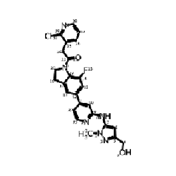 Cn1nc(CO)cc1Nc1cc(-c2cc(F)c3c(c2)CCN3C(=O)Cc2cccnc2Cl)ccn1